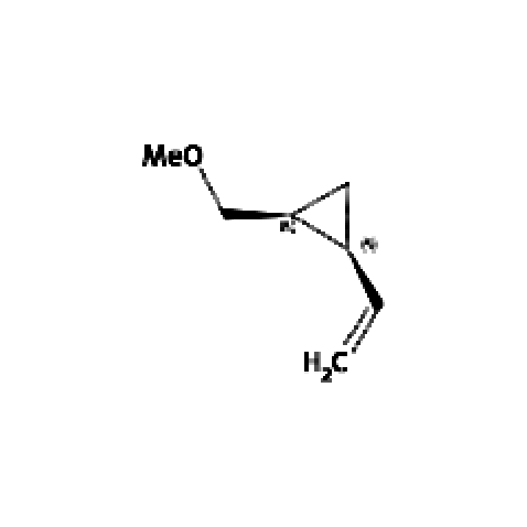 C=C[C@@H]1C[C@@H]1COC